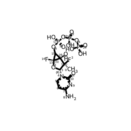 C[C@]1(F)[C@H](n2ccc(N)nc2=O)O[C@]2(F)C(OP(=O)(O)OP(=O)(O)OP(=O)(O)O)[C@]12O